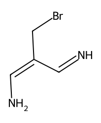 N=C/C(=C\N)CBr